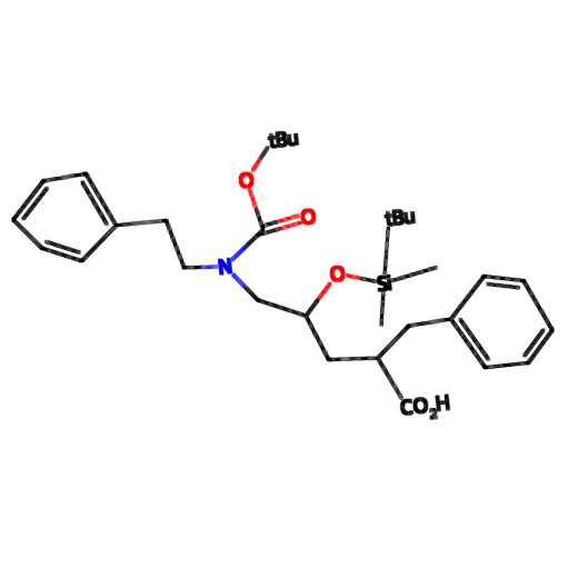 CC(C)(C)OC(=O)N(CCc1ccccc1)CC(CC(Cc1ccccc1)C(=O)O)O[Si](C)(C)C(C)(C)C